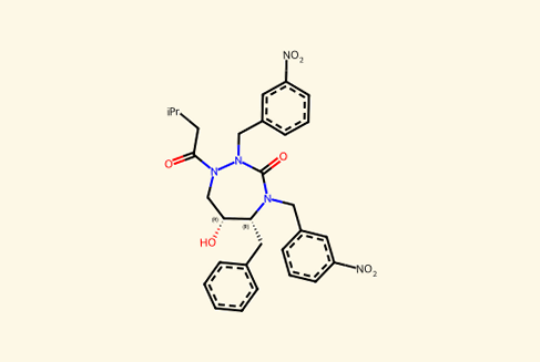 CC(C)CC(=O)N1C[C@@H](O)[C@@H](Cc2ccccc2)N(Cc2cccc([N+](=O)[O-])c2)C(=O)N1Cc1cccc([N+](=O)[O-])c1